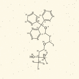 CC(CCOC(c1ccccc1)(c1ccccc1)c1ccccc1)OCCC(O)([SiH](C)C)C(C)(C)C